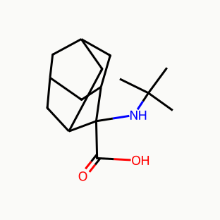 CC(C)(C)NC1(C(=O)O)C2CC3CC(C2)CC1C3